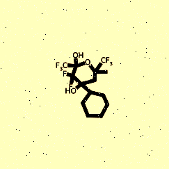 CC1(C(F)(F)F)CC(O)(C2CCCCC2)C(F)(F)C(O)(C(F)(F)F)O1